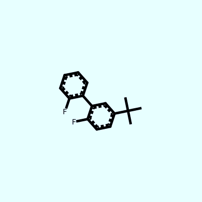 CC(C)(C)c1ccc(F)c(-c2ccccc2F)c1